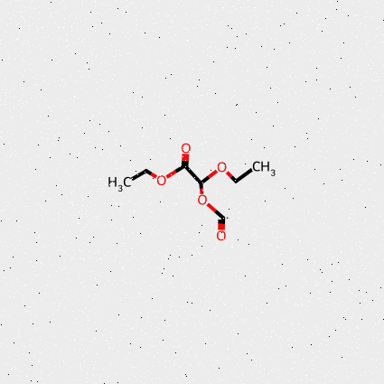 CCOC(=O)C(O[C]=O)OCC